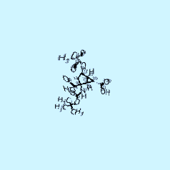 CC(C)(C)OC(=O)N[C@@]1(C(=O)O)C[C@H](OS(C)(=O)=O)[C@H]2[C@H](C(=O)O)[C@H]21